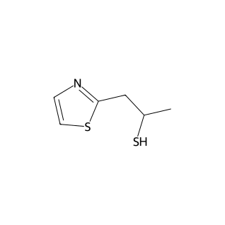 CC(S)Cc1nccs1